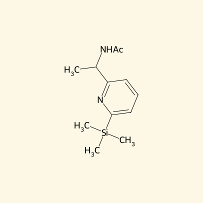 CC(=O)NC(C)c1cccc([Si](C)(C)C)n1